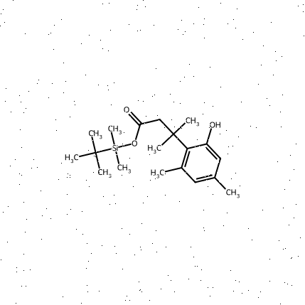 Cc1cc(C)c(C(C)(C)CC(=O)O[Si](C)(C)C(C)(C)C)c(O)c1